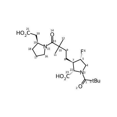 CC(C)(C)C(=O)N1C[C@@H](F)[C@H](CCC(C)(C)C(=O)N2CCC[C@H]2CC(=O)O)[C@H]1C(=O)O